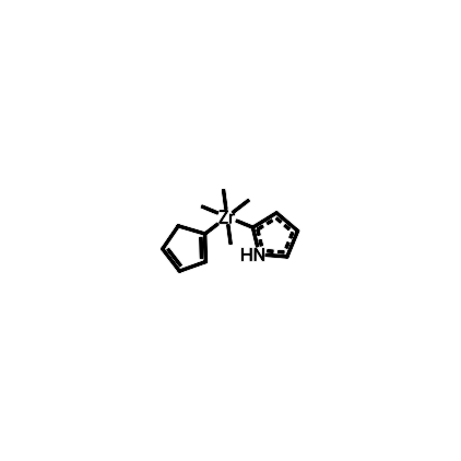 [CH3][Zr]([CH3])([CH3])([CH3])([C]1=CC=CC1)[c]1ccc[nH]1